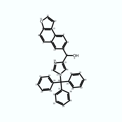 OC(c1ccc2c(ccc3occc32)c1)c1cn(C(c2ccccc2)(c2ccccc2)c2ccccc2)cn1